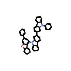 C1=c2oc3cc(-c4ccccc4)cc(-n4c5ccccc5c5ccc(-c6ccc7c8ccccc8n(-c8ccccc8)c7c6)cc54)c3c2=CCC1